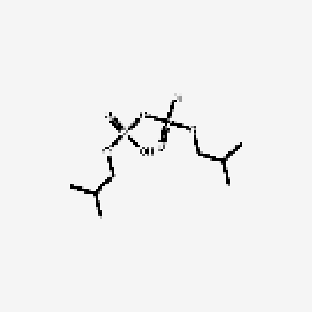 CC(C)COP(=O)(O)OP(=O)(O)OCC(C)C